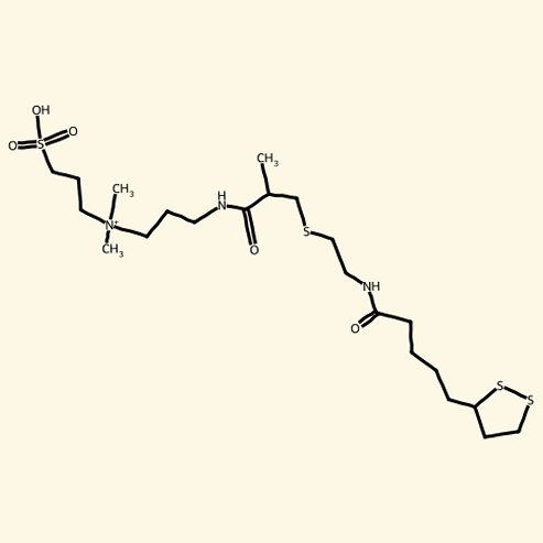 CC(CSCCNC(=O)CCCCC1CCSS1)C(=O)NCCC[N+](C)(C)CCCS(=O)(=O)O